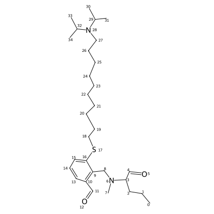 CCCC(C=O)N(C)Cc1c(C=O)cccc1SCCCCCCCCCCN(C(C)C)C(C)C